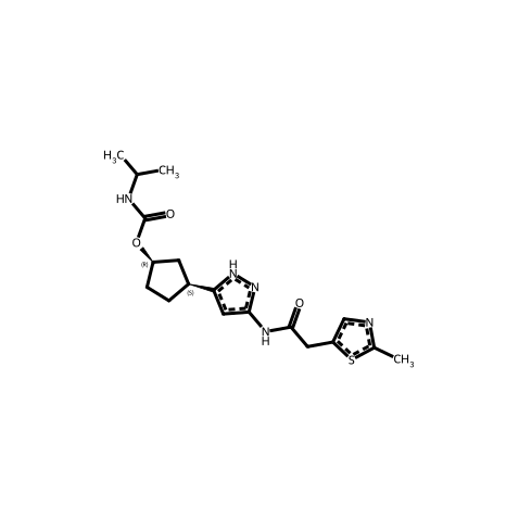 Cc1ncc(CC(=O)Nc2cc([C@H]3CC[C@@H](OC(=O)NC(C)C)C3)[nH]n2)s1